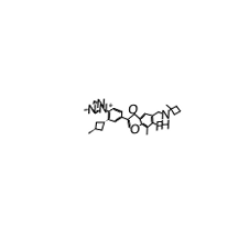 Cc1c(F)c(CNC2(C)CCC2)cc2c(=O)c(-c3ccc(-[n+]4cn(C)cn4)c([C@H]4C[C@H](C)C4)c3)coc12